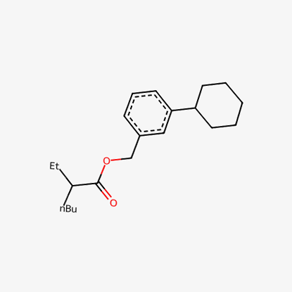 CCCCC(CC)C(=O)OCc1cccc(C2CCCCC2)c1